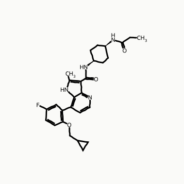 CCC(=O)N[C@H]1CC[C@@H](NC(=O)c2c(C)[nH]c3c(-c4cc(F)ccc4OCC4CC4)ccnc23)CC1